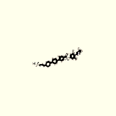 CCCCC1CCC(C2CCC(c3ccc(C(=O)Oc4cc(F)c(/C=C/C(F)(F)F)c(F)c4)cc3)CC2)CC1